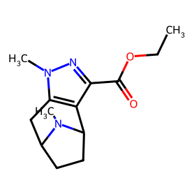 CCOC(=O)c1nn(C)c2c1C1CCC(C2)N1C